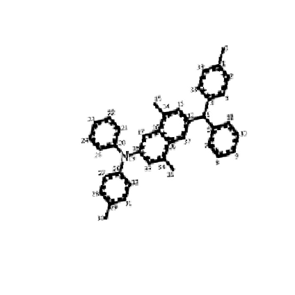 Cc1ccc(C(c2ccccc2)c2cc(C)c3cc(N(c4ccccc4)c4ccc(C)cc4)cc(C)c3c2)cc1